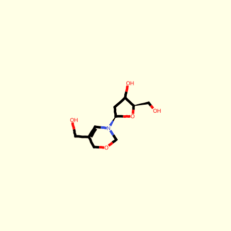 OCC1=CN([C@H]2CC(O)[C@@H](CO)O2)COC1